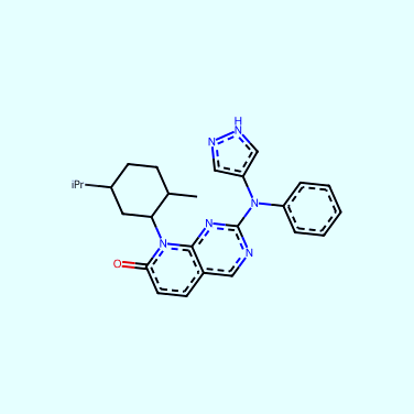 CC(C)C1CCC(C)C(n2c(=O)ccc3cnc(N(c4ccccc4)c4cn[nH]c4)nc32)C1